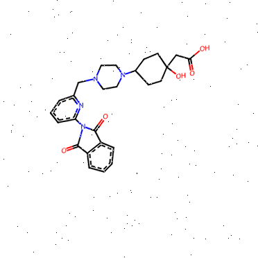 O=C(O)CC1(O)CCC(N2CCN(Cc3cccc(N4C(=O)c5ccccc5C4=O)n3)CC2)CC1